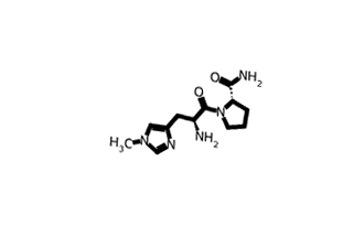 Cn1cnc(C[C@H](N)C(=O)N2CCC[C@H]2C(N)=O)c1